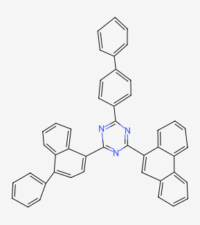 c1ccc(-c2ccc(-c3nc(-c4ccc(-c5ccccc5)c5ccccc45)nc(-c4cc5ccccc5c5ccccc45)n3)cc2)cc1